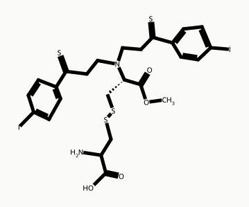 COC(=O)[C@H](CSSCC(N)C(=O)O)N(CCC(=S)c1ccc(I)cc1)CCC(=S)c1ccc(I)cc1